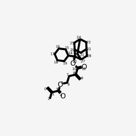 C=C(C)C(=O)OCCC(=C)C(=O)OC1(C2CCCCC2)C2CC3CC(C2)CC1C3